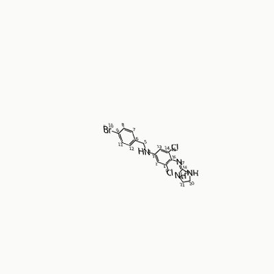 Clc1cc(NCc2ccc(Br)cc2)cc(Cl)c1N=C1NCCN1